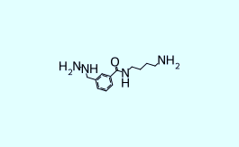 NCCCCNC(=O)c1cccc(CNN)c1